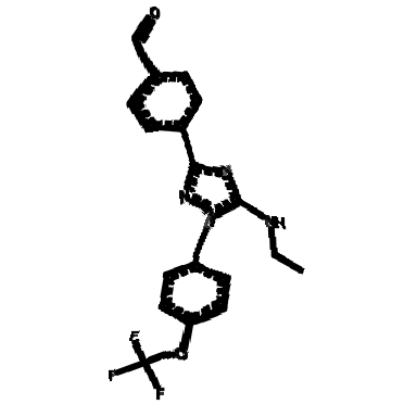 CCNc1nc(-c2ccc(C=O)cc2)nn1-c1ccc(OC(F)(F)F)cc1